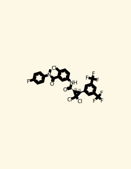 CN(C(=O)c1cc(NC(=O)[C@@H]2[C@@H](c3cc(C(F)(F)F)cc(C(F)(F)F)c3)C2(Cl)Cl)ccc1Cl)c1ccc(F)cc1